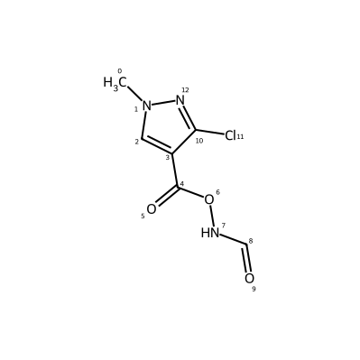 Cn1cc(C(=O)ONC=O)c(Cl)n1